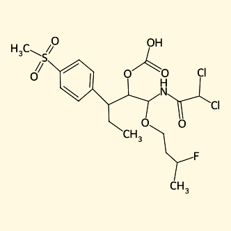 CCC(c1ccc(S(C)(=O)=O)cc1)C(OC(=O)O)C(NC(=O)C(Cl)Cl)OCCC(C)F